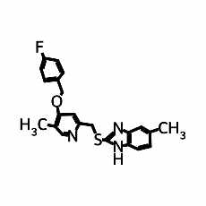 Cc1ccc2[nH]c(SCc3cc(OCc4ccc(F)cc4)c(C)cn3)nc2c1